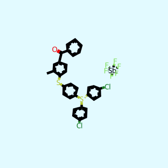 Cc1cc(C(=O)c2ccccc2)ccc1Sc1ccc([S+](c2ccc(Cl)cc2)c2ccc(Cl)cc2)cc1.[F][Sb-]([F])([F])([F])([F])[F]